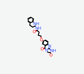 O=C1Cn2c(nc3ccc(OCCCC(=O)NC4CCc5ccccc5N4)cc3c2=O)N1